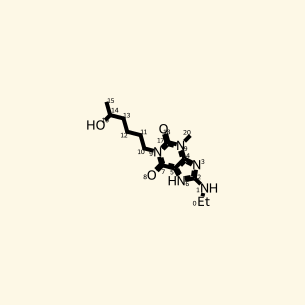 CCNc1nc2c([nH]1)c(=O)n(CCCCC(C)O)c(=O)n2C